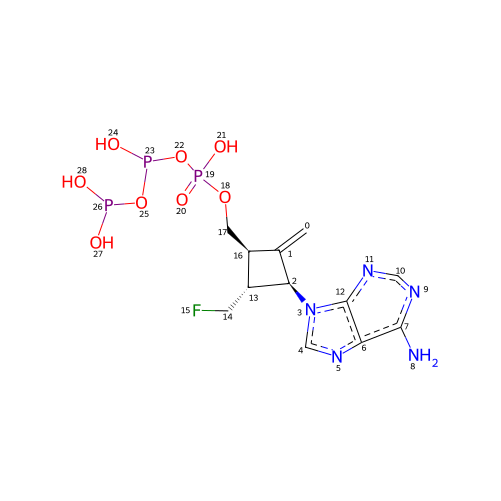 C=C1[C@@H](n2cnc3c(N)ncnc32)[C@H](CF)[C@H]1COP(=O)(O)OP(O)OP(O)O